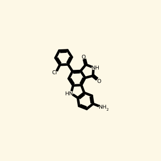 Nc1ccc2[nH]c3cc(-c4ccccc4Cl)c4c(c3c2c1)C(=O)NC4=O